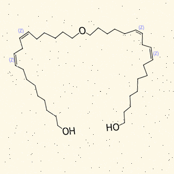 OCCCCCCCC/C=C\C/C=C\CCCCCOCCCCC/C=C\C/C=C\CCCCCCCCO